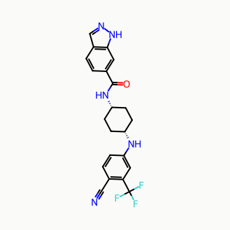 N#Cc1ccc(N[C@H]2CC[C@@H](NC(=O)c3ccc4cn[nH]c4c3)CC2)cc1C(F)(F)F